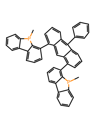 Cp1c2ccccc2c2cccc(-c3cccc4c(-c5ccccc5)c5cccc(-c6cccc7c8ccccc8p(C)c67)c5cc34)c21